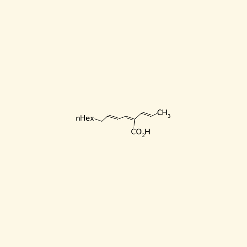 C/C=C/C(=C/C=C/CCCCCCC)C(=O)O